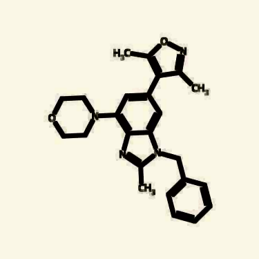 Cc1noc(C)c1-c1cc(N2CCOCC2)c2nc(C)n(Cc3ccccc3)c2c1